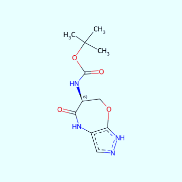 CC(C)(C)OC(=O)N[C@H]1COc2[nH]ncc2NC1=O